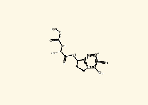 C[C@H](NC(=O)OC(C)(C)C)C(=O)NC1CCc2c1n[nH]c(=O)c2C(F)(F)F